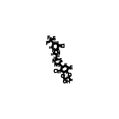 CC(Oc1cc(Cl)c(-c2nnc(-c3cn4cc(C(F)(F)F)cc(Cl)c4n3)s2)cc1F)C(=O)O